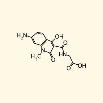 Cn1c(=O)c(C(=O)NCC(=O)O)c(O)c2ccc(N)cc21